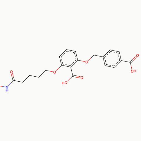 O=C(CCCCOc1cccc(OCc2ccc(C(=O)O)cc2)c1C(=O)O)NO